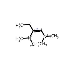 CC/C(=C/N(C)C)N(C)C